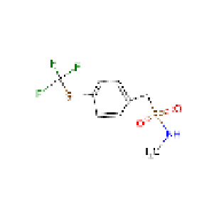 CNS(=O)(=O)Cc1ccc(SC(F)(F)F)cc1